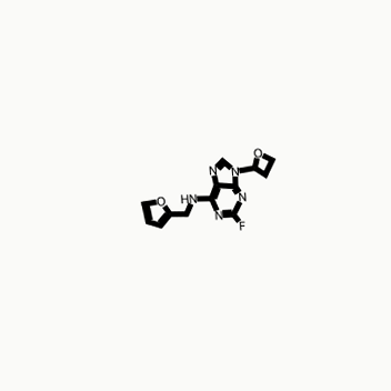 Fc1nc(NCc2ccco2)c2ncn(C3CCO3)c2n1